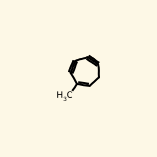 CC1=CCC#CC#C1